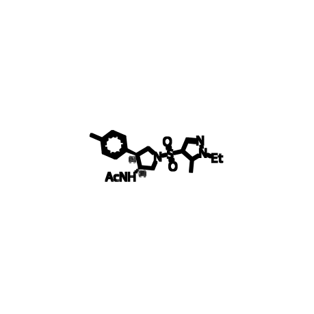 CCN1N=CC(S(=O)(=O)N2C[C@H](NC(C)=O)[C@@H](c3ccc(C)cc3)C2)C1C